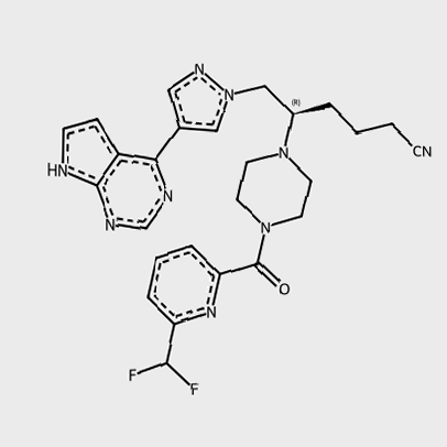 N#CCCC[C@H](Cn1cc(-c2ncnc3[nH]ccc23)cn1)N1CCN(C(=O)c2cccc(C(F)F)n2)CC1